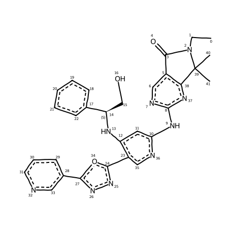 CCN1C(=O)c2cnc(Nc3cc(N[C@H](CO)c4ccccc4)c(-c4nnc(-c5cccnc5)o4)cn3)nc2C1(C)C